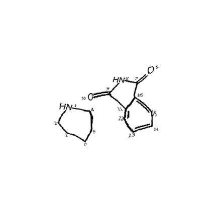 C1CCNCC1.O=C1NC(=O)c2ccccc21